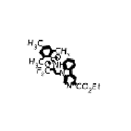 CCOC(=O)c1cc2c3ccccc3n(CC(NS(=O)(=O)c3c(C)cc(C)cc3C)C(F)(F)F)c2cn1